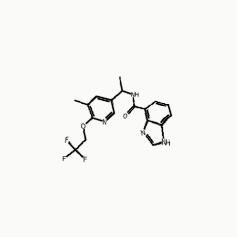 Cc1cc(C(C)NC(=O)c2cccc3[nH]cnc23)cnc1OCC(F)(F)F